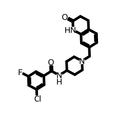 O=C1CCc2ccc(CN3CCC(NC(=O)c4cc(F)cc(Cl)c4)CC3)cc2N1